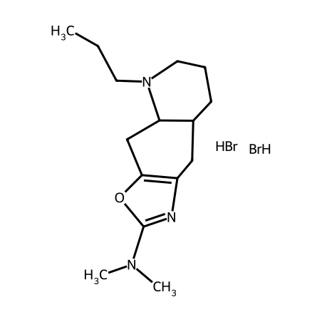 Br.Br.CCCN1CCCC2Cc3nc(N(C)C)oc3CC21